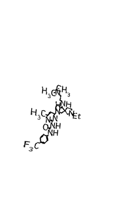 CCN1CCC(CNc2cc(C)nc(NC(=O)Nc3ccc(C(F)(F)F)cc3)n2)(C(=O)NCCN(C)C)C1